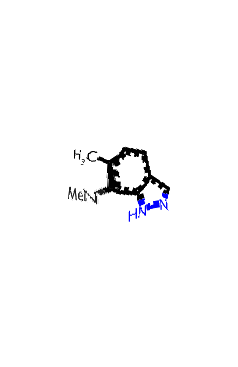 CNc1c(C)ccc2cn[nH]c12